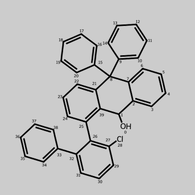 OC1c2ccccc2C(c2ccccc2)(c2ccccc2)c2cccc(-c3c(Cl)cccc3-c3ccccc3)c21